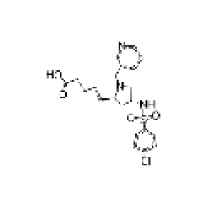 O=C(O)CCC=C[C@@H]1C[C@@H](NS(=O)(=O)c2ccc(Cl)cc2)CN1Cc1cccnc1